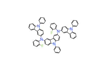 Fc1ccccc1N(c1ccc2c(c1)c1ccccc1n2-c1ccccc1)c1ccc2c(c1)c1cc(N(c3ccc4c(c3)c3ccccc3n4-c3ccccc3)c3ccccc3F)ccc1n2-c1ccccc1